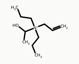 C=CC[N+](CCC)(CCC)C(C)O